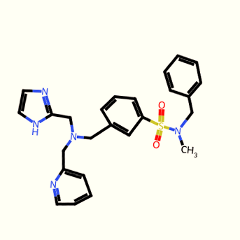 CN(Cc1ccccc1)S(=O)(=O)c1cccc(CN(Cc2ccccn2)Cc2ncc[nH]2)c1